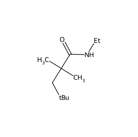 CCNC(=O)C(C)(C)CC(C)(C)C